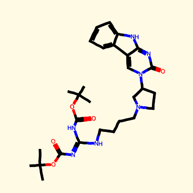 CC(C)(C)OC(=O)/N=C(/NCCCCN1CCC(n2cc3c(nc2=O)[nH]c2ccccc23)C1)NC(=O)OC(C)(C)C